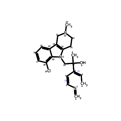 C=N/C=C\C(=C/C)C(C)(O)Cn1c2c(c3cccc(Cl)c31)CN(C)CC2